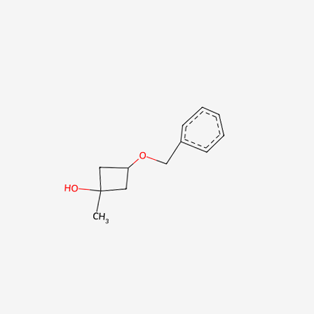 CC1(O)CC(OCc2ccccc2)C1